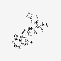 CCN(CC1CCC1)[C@H](C(N)=O)C(=O)Nc1ccc(N2CCOCC2=O)c(C(F)F)c1